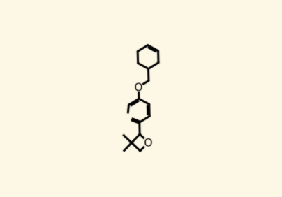 C=C(/C=C\C(=C/C)OCC1CC=CCC1)C1OCC1(C)C